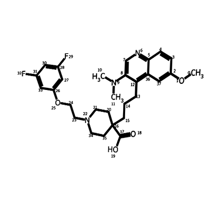 COc1ccc2ncc(N(C)C)c(CCCC3(C(=O)O)CCN(CCOc4cc(F)cc(F)c4)CC3)c2c1